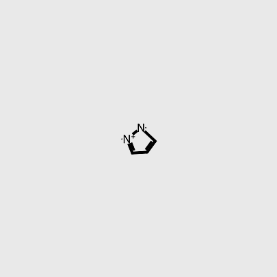 C1=C[N][N+]=C1